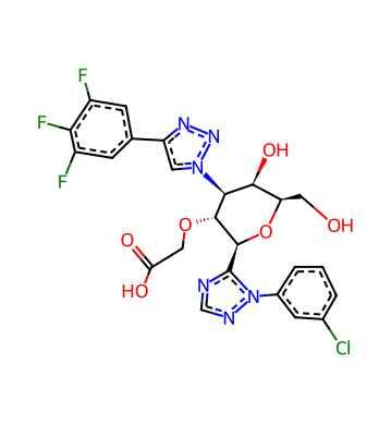 O=C(O)CO[C@@H]1[C@@H](n2cc(-c3cc(F)c(F)c(F)c3)nn2)[C@@H](O)[C@@H](CO)O[C@H]1c1ncnn1-c1cccc(Cl)c1